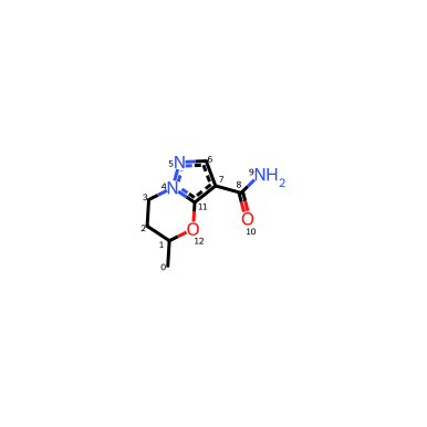 CC1CCn2ncc(C(N)=O)c2O1